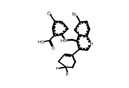 O=C(O)c1cc(Cl)ccc1Nc1c(C2=CCC(F)(F)CC2)cnc2ccc(Br)cc12